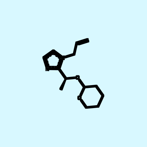 C=CCn1ccnc1[C@H](C)OC1CCCCO1